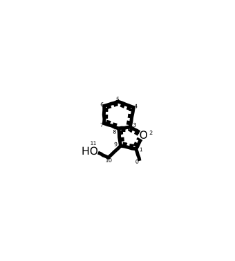 Cc1oc2ccccc2c1CO